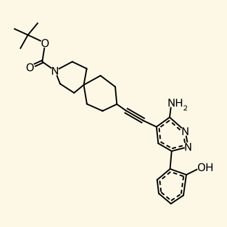 CC(C)(C)OC(=O)N1CCC2(CCC(C#Cc3cc(-c4ccccc4O)nnc3N)CC2)CC1